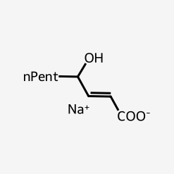 CCCCCC(O)C=CC(=O)[O-].[Na+]